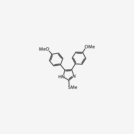 COc1ccc(-c2nc(SC)[nH]c2-c2ccc(OC)cc2)cc1